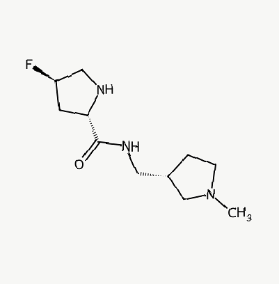 CN1CC[C@@H](CNC(=O)[C@@H]2C[C@@H](F)CN2)C1